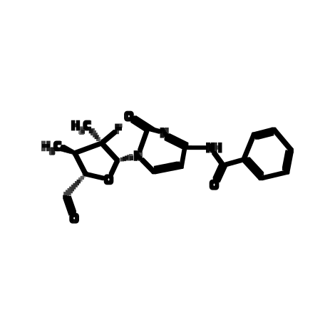 C[C@@H]1[C@@H](C=O)O[C@@H](n2ccc(NC(=O)c3ccccc3)nc2=O)[C@]1(C)F